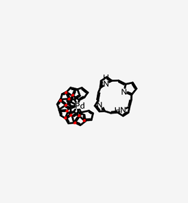 C1=Cc2cc3ccc(cc4nc(cc5ccc(cc1n2)[nH]5)C=C4)[nH]3.c1cc[c]([Pd]([c]2ccccc2)([c]2ccccc2)([c]2ccccc2)([c]2ccccc2)([c]2ccccc2)([c]2ccccc2)[c]2ccccc2)cc1